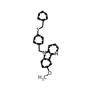 COc1ccc2c(c1)c1ncccc1n2Cc1ccc(SCc2ccccc2)cc1